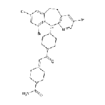 NC(=O)N1CCC(=CC(=O)N2CCC([C@H]3c4ncc(Br)cc4CCc4cc(Cl)cc(Br)c43)CC2)CC1